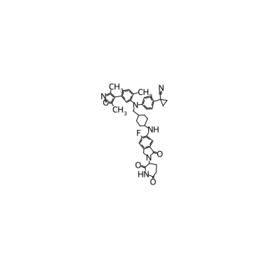 Cc1ccc(-c2c(C)noc2C)cc1N(CC1CCC(Nc2cc3c(cc2F)CN(C2CCC(=O)NC2=O)C3=O)CC1)c1ccc(C2(C#N)CC2)cc1